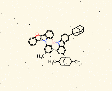 Cc1cc2c3c(c1)-n1c4c(cccc4c4oc5ccccc5c41)B3n1c3ccc(C45CC6CC(CC(C6)C4)C5)cc3c3cc(C45CC(C)CC(CC(C)C4)C5)cc-2c31